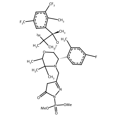 [2H]C(C)(C)[C@@](C)(O[C@H]1OC(C)C(C)(C)N(CC2=NN(P(=O)(OC)OC)C(=O)C2)[C@H]1c1ccc(F)cc1C)c1cc(C(F)(F)F)cc(C(F)(F)F)c1C